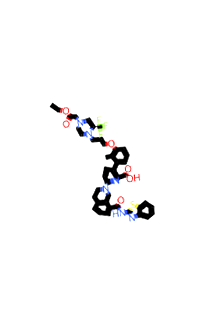 CCOC(=O)CN1CCN(CCCOc2cccc(-c3ccc(N4CCc5cccc(C(=O)Nc6nc7ccccc7s6)c5C4)nc3C(=O)O)c2C)[C@@H](C(F)(F)F)C1